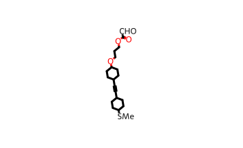 CSC1CCC(C#CC2CCC(OCCCOC(=O)C=O)CC2)CC1